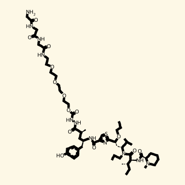 CCCO[C@H](C[C@H](C(C)C)N(CCC)C(=O)[C@@H](NC(=O)[C@H]1CCCCN1C)[C@@H](C)CC)c1nc(C(=O)N[C@@H](Cc2ccc(O)cc2)C[C@H](C)C(=O)NNC(=O)OCCOCCOCCOCCNC(=O)CNC(=O)CNC(=O)CN)cs1